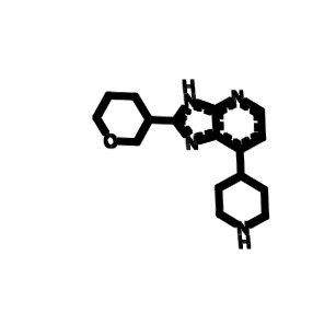 c1cc(C2CCNCC2)c2nc(C3CCCOC3)[nH]c2n1